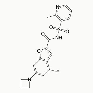 Cc1ncccc1S(=O)(=O)NC(=O)c1cc2c(F)cc(N3CCC3)cc2o1